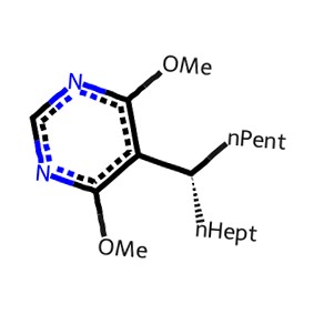 CCCCCCC[C@@H](CCCCC)c1c(OC)ncnc1OC